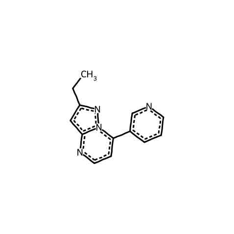 CCc1cc2nccc(-c3cccnc3)n2n1